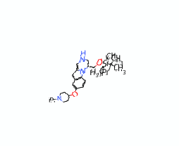 CC(C)N1CCC(Oc2ccc3c(c2)CC2=CNC[C@@H](CO[Si](C)(C)C(C)(C)C(C)C)N23)CC1